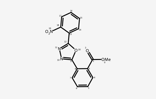 COC(=O)c1ccccc1-c1nnc(-c2ccccc2[N+](=O)[O-])o1